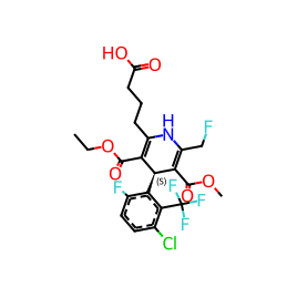 CCOC(=O)C1=C(CCCC(=O)O)NC(CF)=C(C(=O)OC)[C@H]1c1c(F)ccc(Cl)c1C(F)(F)F